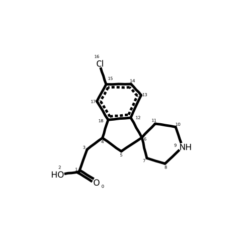 O=C(O)CC1CC2(CCNCC2)c2ccc(Cl)cc21